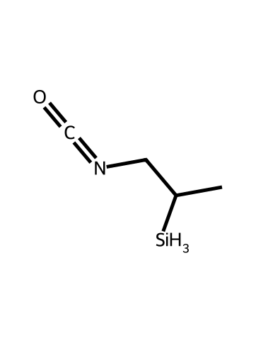 CC([SiH3])CN=C=O